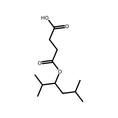 CC(C)CC(OC(=O)CCC(=O)O)C(C)C